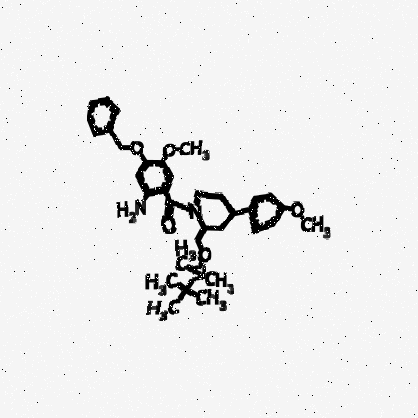 COc1ccc(C2CCN(C(=O)c3cc(OC)c(OCc4ccccc4)cc3N)C(CO[Si](C)(C)C(C)(C)C)C2)cc1